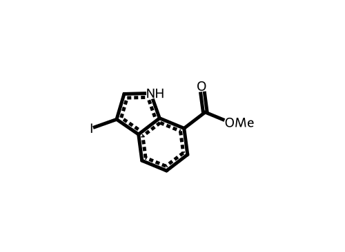 COC(=O)c1cccc2c(I)c[nH]c12